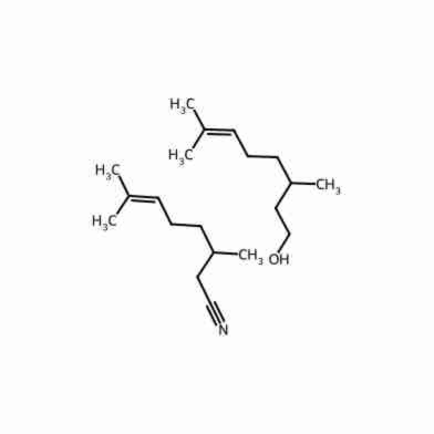 CC(C)=CCCC(C)CC#N.CC(C)=CCCC(C)CCO